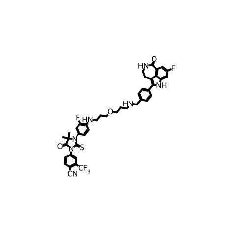 CC1(C)C(=O)N(c2ccc(C#N)c(C(F)(F)F)c2)C(=S)N1c1ccc(NCCCOCCCNCc2ccc(-c3[nH]c4cc(F)cc5c4c3CCNC5=O)cc2)c(F)c1